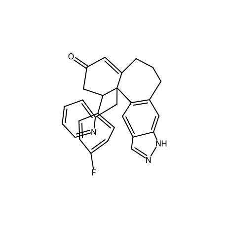 O=C1C=C2CCCc3cc4[nH]ncc4cc3C2(Cc2ccccn2)C(c2ccc(F)cc2)C1